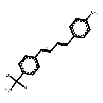 CCC(N)(CC)c1ccc(/C=C/C=C/c2ccc(C)cc2)cc1